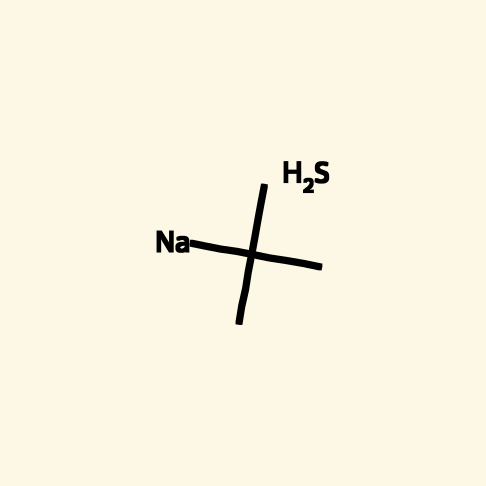 C[C](C)(C)[Na].S